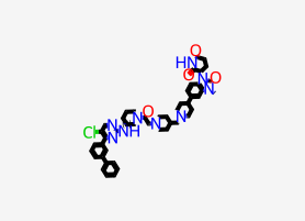 Cn1c(=O)n(C2CCC(=O)NC2=O)c2ccc(C3CCN(CC4CCN(CC(=O)N5CCC[C@H](Nc6ncc(Cl)c(-c7cccc(-c8ccccc8)c7)n6)C5)CC4)CC3)cc21